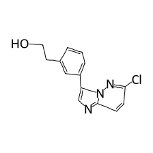 OCCc1cccc(-c2cnc3ccc(Cl)nn23)c1